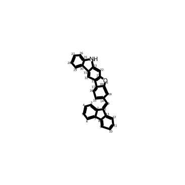 C(=C1c2ccccc2-c2ccccc21)c1ccc2c(c1)oc1cc3[nH]c4ccccc4c3cc12